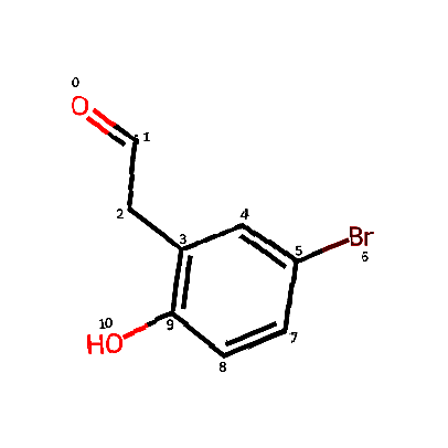 O=[C]Cc1cc(Br)ccc1O